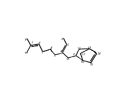 CC=C(CCCC=C(C)C)CC1CC2C=CC1C2